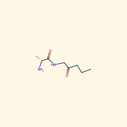 CCCC(=O)CNC(=O)[C@@H](C)N